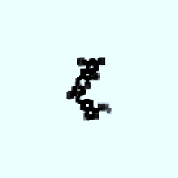 Nc1ncnc2cc(CN3CCN(Cc4cc5c(Cl)cc(Cl)cc5[nH]c4=O)CC3=O)ccc12